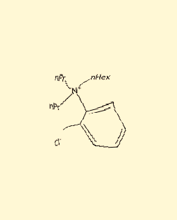 CCCCCC[N+](CCC)(CCC)c1ccccc1C.[Cl-]